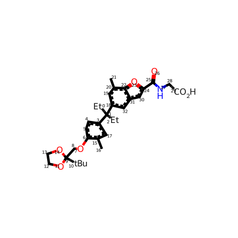 CCC(CC)(c1ccc(OCC2(C(C)(C)C)OCCO2)c(C)c1)c1cc(C)c2oc(C(=O)NCC(=O)O)cc2c1